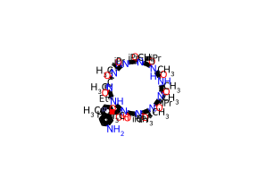 CC[C@@H]1NC(=O)C([C@H](O)[C@H](C)C/C=C(/C)c2ccc(N)cc2)N(C)C(=O)[C@H](C(C)C)N(C)C(=O)[C@H](CC(C)C)N(C)C(=O)C(C(C)C)N(C)C(=O)[C@H](C)NC(=O)[C@H](C)NC(=O)[C@H](CC(C)C)N(C)C(=O)[C@H](C(C)C)NC(=O)[C@H](CC(C)C)N(C)C(=O)CN(C)C1=O